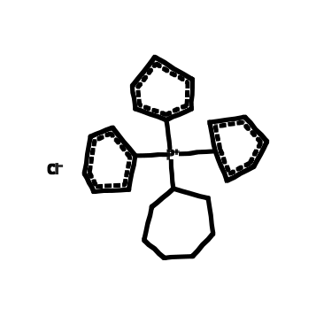 [Cl-].c1ccc([P+](c2ccccc2)(c2ccccc2)C2CCCCCC2)cc1